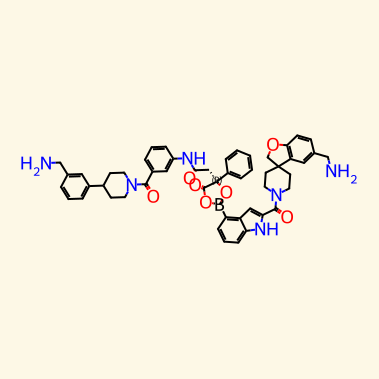 NCc1cccc(C2CCN(C(=O)c3cccc(NC(=O)C[C@]4(c5ccccc5)OB(c5cccc6[nH]c(C(=O)N7CCC8(CC7)COc7ccc(CN)cc78)cc56)OC4=O)c3)CC2)c1